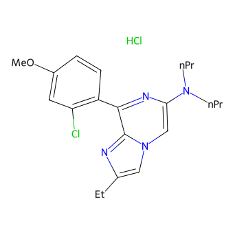 CCCN(CCC)c1cn2cc(CC)nc2c(-c2ccc(OC)cc2Cl)n1.Cl